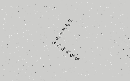 [Cu].[Cu].[Mn].[Mn].[O-2].[O-2].[O-2].[O-2].[O-2].[V+5].[V+5]